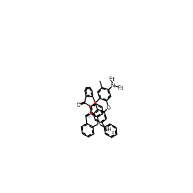 CCN(CC)c1cc2c(cc1C)C1(c3ccc(N)cc3O2)c2ccccc2C(=O)N1/N=C/c1ccccc1P(c1ccccc1)c1ccccc1